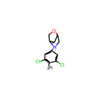 CC(C)c1c(Cl)cc(N2CC3CC2CO3)cc1Cl